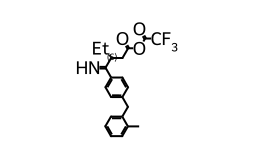 CC[C@@H](CC(=O)OC(=O)C(F)(F)F)C(=N)c1ccc(Cc2ccccc2C)cc1